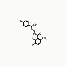 Cc1ccc(Br)c(F)c1C(=O)NCC[C@H](O)c1ccc(Cl)cc1